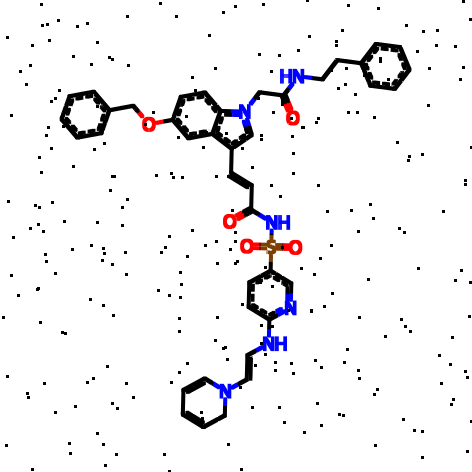 O=C(C=Cc1cn(CC(=O)NCCc2ccccc2)c2ccc(OCc3ccccc3)cc12)NS(=O)(=O)c1ccc(NC=CN2C=CC=CC2)nc1